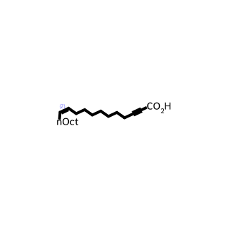 CCCCCCCC/C=C\CCCCCCCC#CC(=O)O